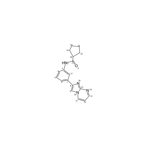 O=C(Nc1cccc(-c2cn3cccnc3n2)c1)C1CCCC1